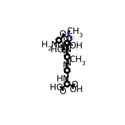 C/C=C(\C=C/c1ccc(S(=O)(=O)O)c(N=Nc2ccc(N=Nc3ccc(CNc4cc(C(=O)O)cc(C(=O)O)c4)cc3)c(C)c2)c1O)NC(=O)c1ccc(N)cc1